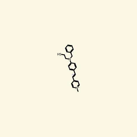 C[n+]1ccc(/C=C/c2ccc(N(CCS)Cc3ccccc3)cc2)cc1